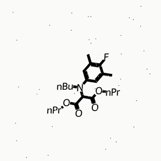 CCCCN(c1cc(C)c(F)c(C)c1)C(C(=O)OCCC)C(=O)OCCC